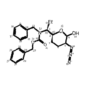 CC[C@@H]([C@@H]1CCC(N=[N+]=[N-])C(O)O1)N(Cc1ccccc1)C(=O)OCc1ccccc1